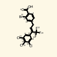 O=C(O)c1ccc(C/C=C(/c2cc(Cl)c(Cl)c(Cl)c2)C(F)(F)F)cc1Br